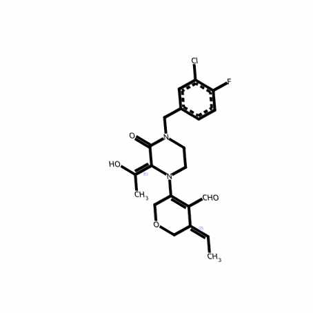 C/C=C1\COCC(N2CCN(Cc3ccc(F)c(Cl)c3)C(=O)/C2=C(/C)O)=C1C=O